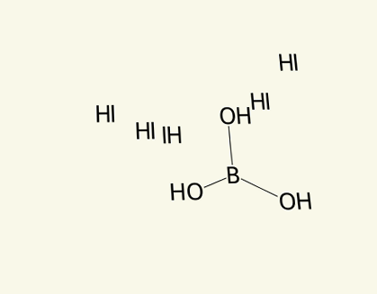 I.I.I.I.I.OB(O)O